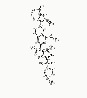 COc1nc(-c2c(C)ccc3c2c(C)nn3S(=O)(=O)c2ccc(C)cc2)nc2c1CN(c1c(C=O)c(C(F)F)nn1C)CC2